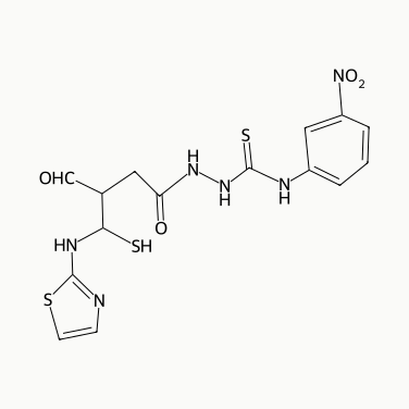 O=CC(CC(=O)NNC(=S)Nc1cccc([N+](=O)[O-])c1)C(S)Nc1nccs1